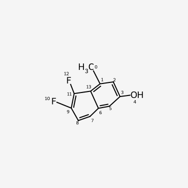 Cc1cc(O)cc2ccc(F)c(F)c12